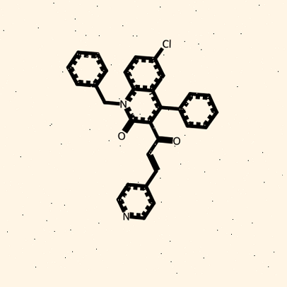 O=C(/C=C/c1ccncc1)c1c(-c2ccccc2)c2cc(Cl)ccc2n(Cc2ccccc2)c1=O